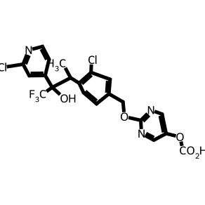 CC(c1ccc(COc2ncc(OC(=O)O)cn2)cc1Cl)C(O)(c1ccnc(Cl)c1)C(F)(F)F